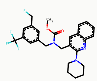 COC(=O)N(Cc1cc(CF)cc(C(F)(F)F)c1)Cc1cc2ccccc2nc1N1CCCCC1